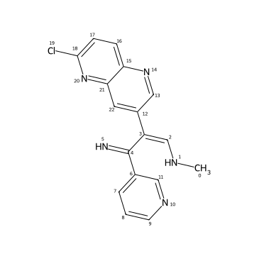 CN/C=C(\C(=N)c1cccnc1)c1cnc2ccc(Cl)nc2c1